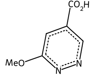 COc1cc(C(=O)O)cnn1